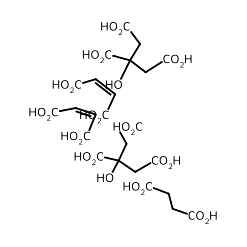 O=C(O)/C=C\C(=O)O.O=C(O)/C=C\C(=O)O.O=C(O)CC(O)(CC(=O)O)C(=O)O.O=C(O)CC(O)(CC(=O)O)C(=O)O.O=C(O)CCC(=O)O